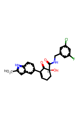 O=C(O)c1cc2cc(C3=CCC[C@@](O)(C(=O)NCc4cc(F)cc(Cl)c4)C3=O)ccc2[nH]1